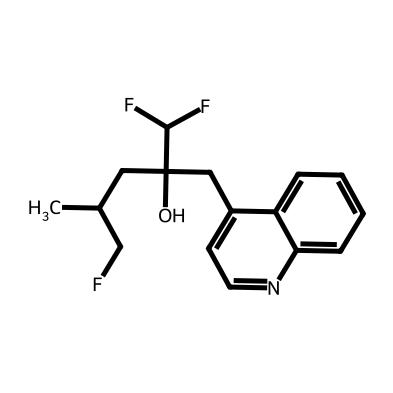 CC(CF)CC(O)(Cc1ccnc2ccccc12)C(F)F